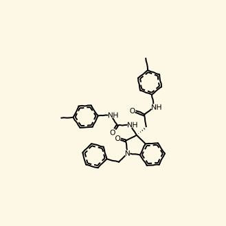 Cc1ccc(NC(=O)C[C@@]2(NC(=O)Nc3ccc(C)cc3)C(=O)N(Cc3ccccc3)c3ccccc32)cc1